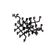 CC[O][Sn]([O][Sn]([O]CC)([C](F)(F)C(F)(F)C(F)(F)CF)[C](F)(F)C(F)(F)C(F)(F)CF)([C](F)(F)C(F)(F)C(F)(F)CF)[C](F)(F)C(F)(F)C(F)(F)CF